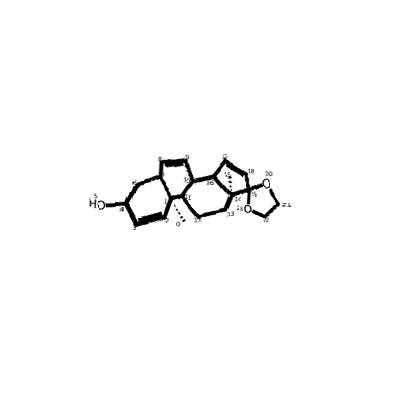 C[C@]12C=CC(O)CC1C=CC1C2CC[C@@]2(C)C1C=CC21OCCO1